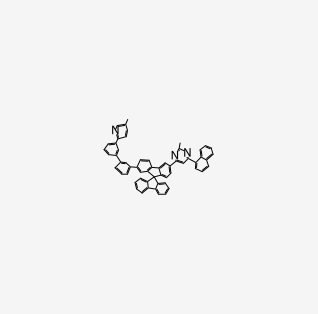 Cc1ccc(-c2cccc(-c3cccc(-c4ccc5c(c4)C4(c6ccccc6-c6ccccc64)c4ccc(-c6cc(-c7cccc8ccccc78)nc(C)n6)cc4-5)c3)c2)nc1